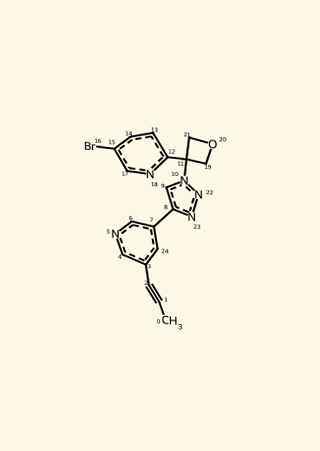 CC#Cc1cncc(-c2cn(C3(c4ccc(Br)cn4)COC3)nn2)c1